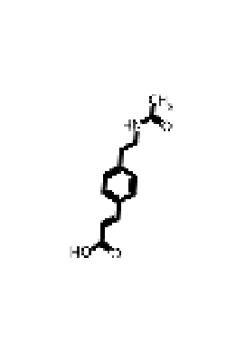 CC(=O)NCCc1ccc(/C=C/C(=O)O)cc1